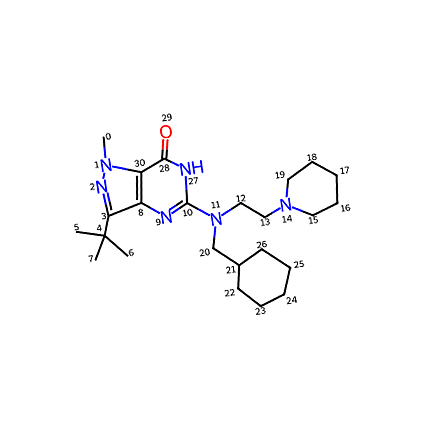 Cn1nc(C(C)(C)C)c2nc(N(CCN3CCCCC3)CC3CCCCC3)[nH]c(=O)c21